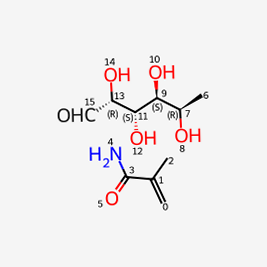 C=C(C)C(N)=O.C[C@@H](O)[C@H](O)[C@H](O)[C@@H](O)C=O